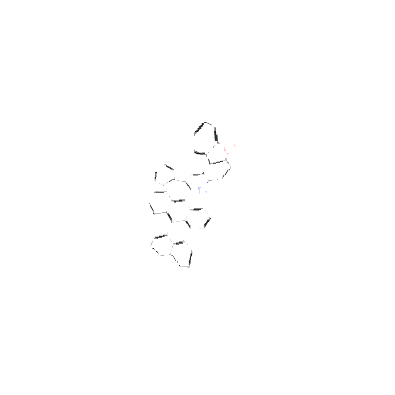 c1ccc2c(-c3c4ccccc4c(-c4nc5ccc6oc7ccccc7c6c5c5oc6ccccc6c45)c4ccccc34)cccc2c1